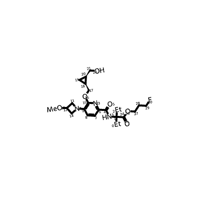 CCC(CC)(NC(=O)c1ccc(N2CC(OC)C2)c(OC[C@H]2C[C@H]2CO)n1)C(=O)OCCCF